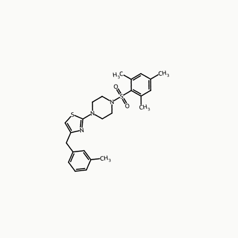 Cc1cccc(Cc2csc(N3CCN(S(=O)(=O)c4c(C)cc(C)cc4C)CC3)n2)c1